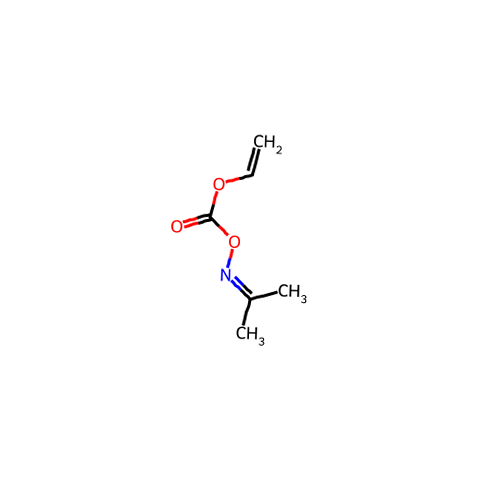 C=COC(=O)ON=C(C)C